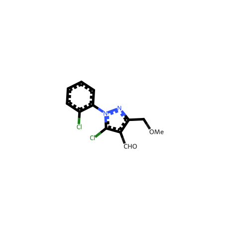 COCc1nn(-c2ccccc2Cl)c(Cl)c1C=O